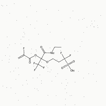 C=C(F)C(=O)OC(OCCC(F)(F)S(=O)(=O)O)(C(=O)NCC)C(F)(F)F